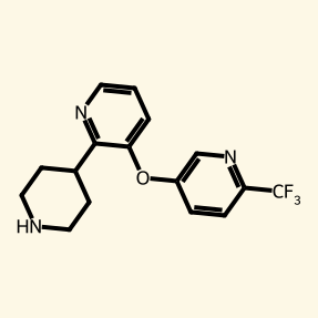 FC(F)(F)c1ccc(Oc2cccnc2C2CCNCC2)cn1